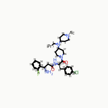 CC(=O)N1CCC(N(CC(C)C)C2CCN(C(=O)[C@@H](Cc3ccc(Cl)cc3)NC(=O)C[C@@H](N)c3ccccc3F)CC2)CC1